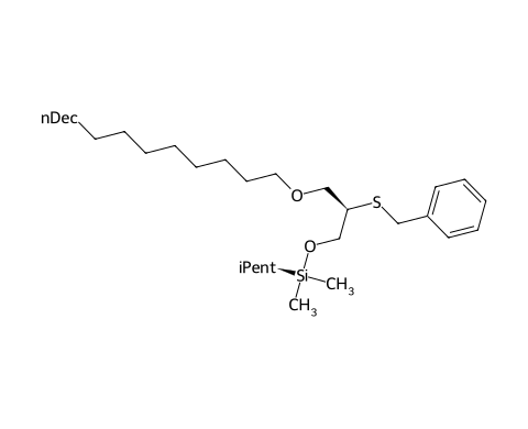 CCCCCCCCCCCCCCCCCCOC[C@H](CO[Si](C)(C)[C@H](C)CCC)SCc1ccccc1